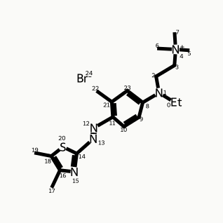 CCN(CC[N+](C)(C)C)c1ccc(/N=N/c2nc(C)c(C)s2)c(C)c1.[Br-]